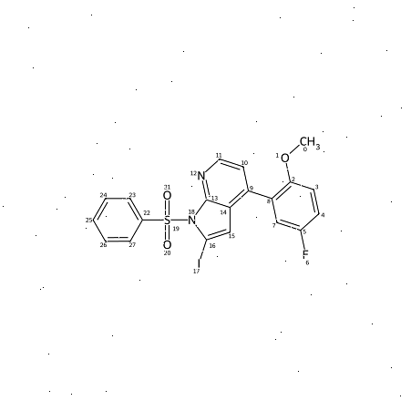 COc1ccc(F)cc1-c1ccnc2c1cc(I)n2S(=O)(=O)c1ccccc1